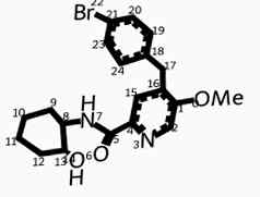 COc1cnc(C(=O)NC2CCCC[C@@H]2O)cc1Cc1ccc(Br)cc1